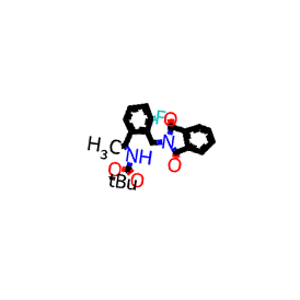 CC(NC(=O)OC(C)(C)C)c1cccc(F)c1CN1C(=O)c2ccccc2C1=O